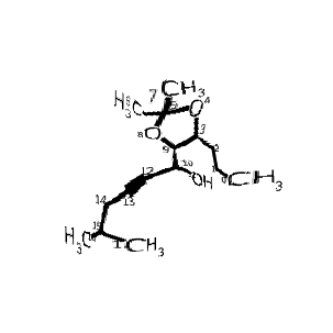 CCC[C@@H]1OC(C)(C)O[C@@H]1C(O)C#CCC(C)C